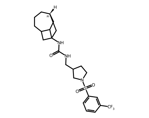 O=C(NCC1CCN(S(=O)(=O)c2cccc(C(F)(F)F)c2)C1)NC12CC3CCC[C@H](CC31)C2